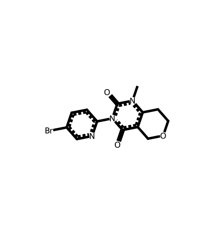 Cn1c2c(c(=O)n(-c3ccc(Br)cn3)c1=O)COCC2